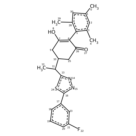 Cc1cc(C)c(C2=C(O)CC(C(C)c3nnc(-c4cccc(F)c4)s3)CC2=O)c(C)c1